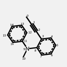 CC#Cc1ccccc1N(C)c1ccccc1